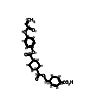 C=CC(=O)Oc1ccc(OC(=O)C2CCC(C(=O)OCC3C=CC(C(=O)O)=CC3)CC2)cc1